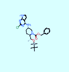 C[C@@H](O[Si](C)(C)C(C)(C)C)[C@H]1CC[C@H](Nc2nc(Cl)nc3[nH]ccc23)CN1C(=O)OCc1ccccc1